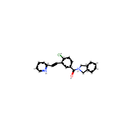 O=C(c1ccc(Cl)c(C#Cc2ccccn2)c1)N1Cc2ccccc2C1